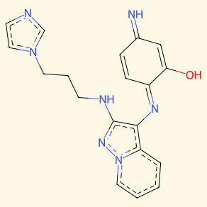 N=C1C=C/C(=N\c2c(NCCCn3ccnc3)nn3ccccc23)C(O)=C1